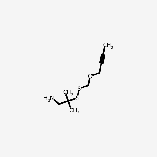 CC#CCOCSSC(C)(C)CN